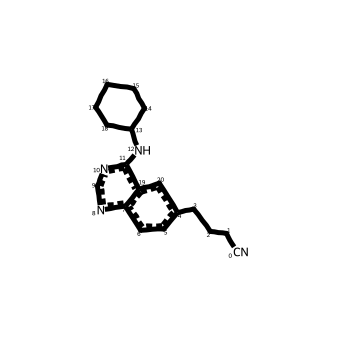 N#CCCCc1ccc2ncnc(NC3CCCCC3)c2c1